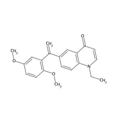 C=C(c1ccc2c(c1)c(=O)ccn2CC)c1cc(OC)ccc1OC